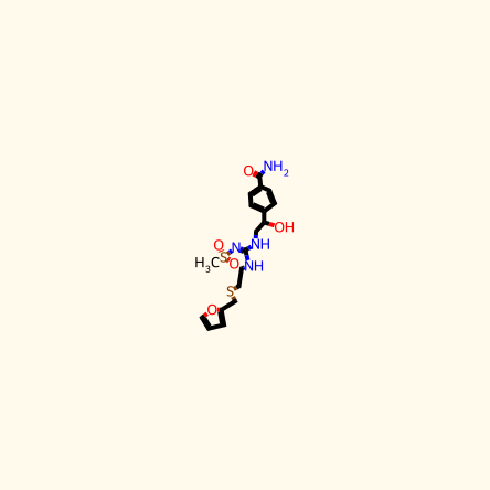 CS(=O)(=O)N=C(NCCSCc1ccco1)NCC(O)c1ccc(C(N)=O)cc1